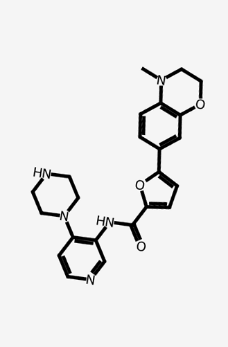 CN1CCOc2cc(-c3ccc(C(=O)Nc4cnccc4N4CCNCC4)o3)ccc21